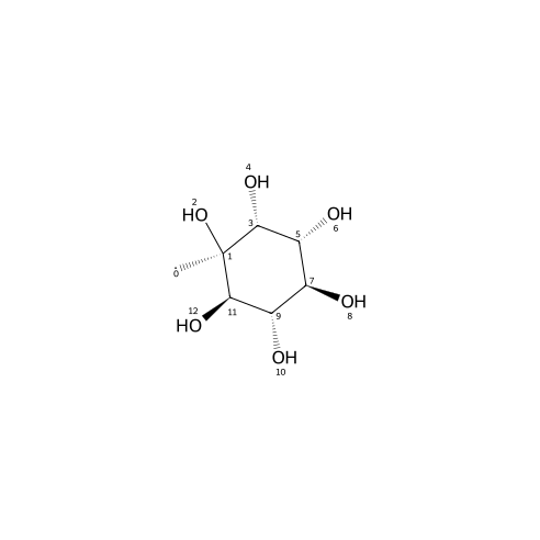 [CH2][C@]1(O)[C@H](O)[C@H](O)[C@@H](O)[C@H](O)[C@H]1O